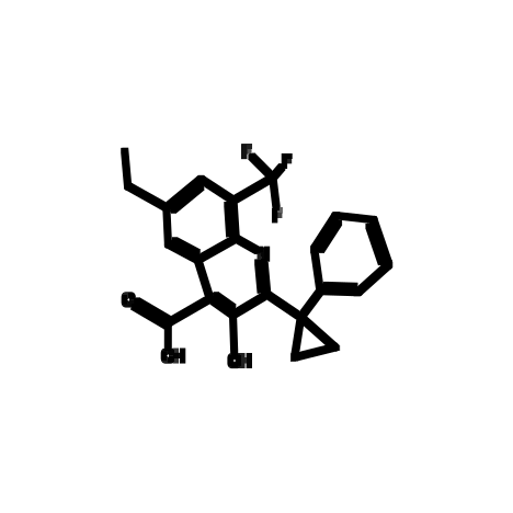 CCc1cc(C(F)(F)F)c2nc(C3(c4ccccc4)CC3)c(O)c(C(=O)O)c2c1